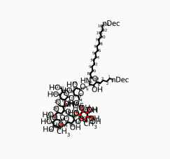 CCCCCCCCCCCCC/C=C/[C@@H](O)[C@H](CO[C@@H]1OC(CO)[C@@H](O[C@@H]2OC(CO)[C@H](O)[C@H](O[C@@H]3OC(CO)[C@@H](O[C@H]4OC(C)[C@@H](O)C(O)[C@@H]4O)[C@H](O[C@@H]4OC(CO)[C@H](O)[C@H](O[C@H]5OC(CO)[C@H](O)[C@H](O)C5O)C4O[C@H]4OC(C)[C@@H](O)C(O)[C@@H]4O)C3NC(C)=O)C2O)[C@H](O)C1O)NC(=O)CCCCCCCCCCCCCCCCCCCCCCCCC